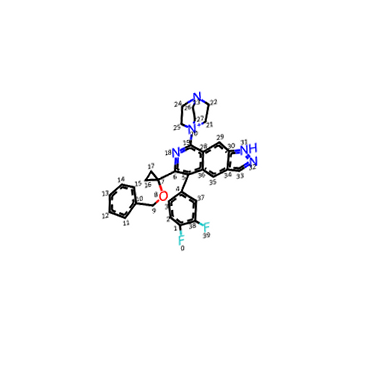 Fc1ccc(-c2c(C3(OCc4ccccc4)CC3)nc([N+]34CCN(CC3)CC4)c3cc4[nH]ncc4cc23)cc1F